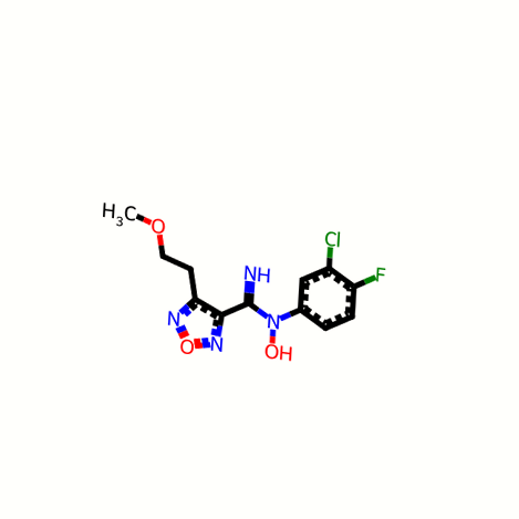 COCCc1nonc1C(=N)N(O)c1ccc(F)c(Cl)c1